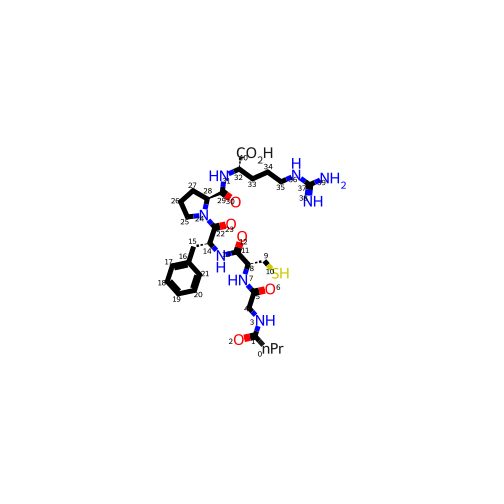 CCCC(=O)NCC(=O)N[C@@H](CS)C(=O)N[C@H](Cc1ccccc1)C(=O)N1CCC[C@H]1C(=O)N[C@@H](CCCNC(=N)N)C(=O)O